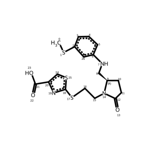 CSc1cccc(NC[C@H]2CCC(=O)N2CCSc2nc(C(=O)O)cs2)c1